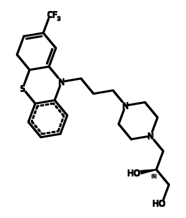 OC[C@@H](O)CN1CCN(CCCN2C3=CC(C(F)(F)F)=CCC3Sc3ccccc32)CC1